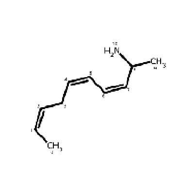 C/C=C\C/C=C\C=C/C(C)N